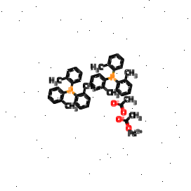 CC(=O)[O-].CC(=O)[O-].Cc1ccccc1P(c1ccccc1C)c1ccccc1C.Cc1ccccc1P(c1ccccc1C)c1ccccc1C.[Pd+2]